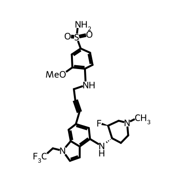 COc1cc(S(N)(=O)=O)ccc1NCC#Cc1cc(N[C@H]2CCN(C)C[C@@H]2F)c2ccn(CC(F)(F)F)c2c1